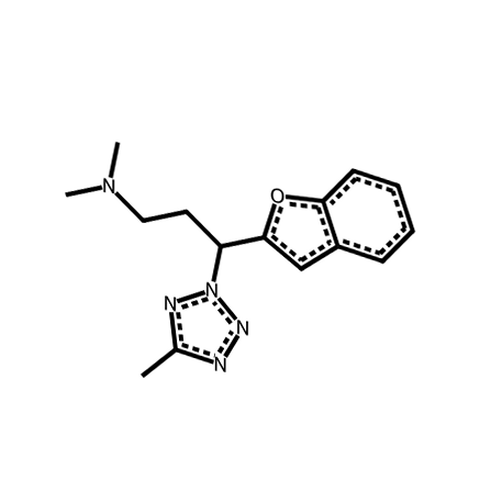 Cc1nnn(C(CCN(C)C)c2cc3ccccc3o2)n1